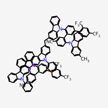 Cc1ccc2c(c1)c1ccccc1n2-c1ccc(C#N)cc1-c1cc(-c2ccc(C(F)(F)F)cc2C(F)(F)F)ccc1-n1c2ccccc2c2cc(Cc3ccc4c(c3)c3cc5c6ccccc6n(-c6cc(C#N)ccc6-c6cc(-c7ccc(C(F)(F)F)cc7C(F)(F)F)ccc6-n6c7ccccc7c7cc8c9ccccc9n(-c9ccccc9)c8cc76)c5cc3n4-c3ccccc3)ccc21